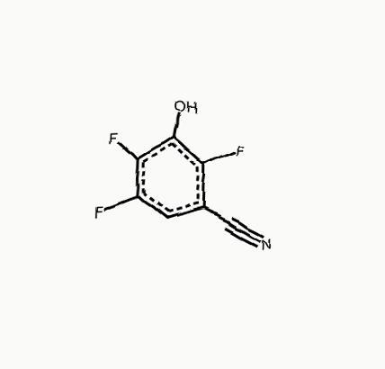 N#Cc1cc(F)c(F)c(O)c1F